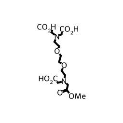 COC(=O)CN(CCOCCOCCN(CC(=O)O)CC(=O)O)CC(=O)O